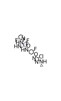 N=C/C(C(=O)Nc1ccc(Oc2ncnc(NC3CC3)c2Cl)c(F)c1)=C(\Nc1ncccc1F)C(F)(F)F